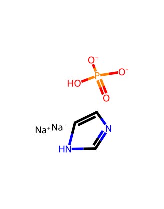 O=P([O-])([O-])O.[Na+].[Na+].c1c[nH]cn1